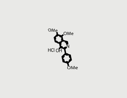 COc1ccc(-c2ncc3c(OC)c(OC)ccc3c2O)cc1.Cl